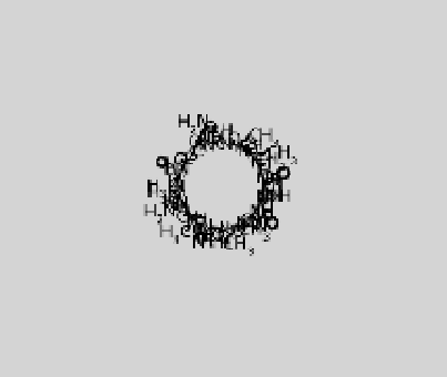 CCCC[C@H]1C(=O)N(C)[C@@H](CCCC)C(=O)NCC(=O)N[C@H](C(=O)NCC(N)=O)CSCC(=O)N[C@@H](CCc2ccccc2)C(=O)N(C)[C@@H](C)C(=O)N[C@@H](CC(N)=O)C(=O)N(CCC)CC(=O)N[C@@H](Cc2cnc[nH]2)C(=O)N[C@@H](CC(C)C)C(=O)N(C)CC(=O)N[C@@H](Cc2c[nH]c3ccccc23)C(=O)N[C@@H](CO)C(=O)N[C@@H](Cc2c[nH]c3ccccc23)C(=O)N1C